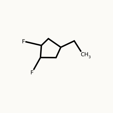 CCC1CC(F)C(F)C1